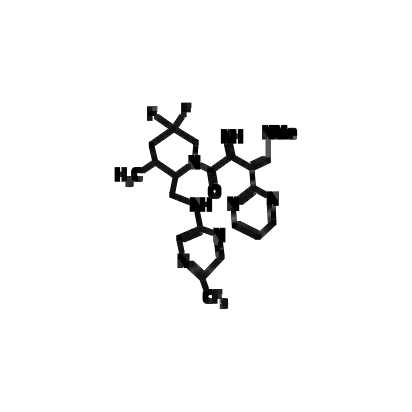 CN/C=C(\C(=N)C(=O)N1CC(F)(F)CC(C)C1CNc1cnc(C(F)(F)F)cn1)c1ncccn1